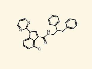 O=C(NCC(Cc1ccccc1)c1ccccc1)c1cn(-c2ncccn2)c2cccc(Cl)c12